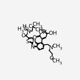 COCCN(C)Cc1ccc2nc3sc(C(=O)N(C)CC(C)(C)C)cn3c2c1/C(=C/C(=O)O)C(=O)O